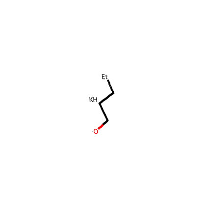 CCCCC[O].[KH]